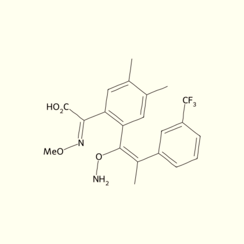 CON=C(C(=O)O)c1cc(C)c(C)cc1C(ON)=C(C)c1cccc(C(F)(F)F)c1